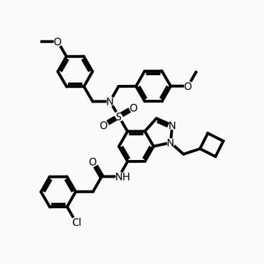 COc1ccc(CN(Cc2ccc(OC)cc2)S(=O)(=O)c2cc(NC(=O)Cc3ccccc3Cl)cc3c2cnn3CC2CCC2)cc1